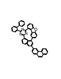 c1ccc(-c2nc(-c3ccccc3-c3ccccc3)nc(-c3cccc4oc5ccc(-c6cccc(-c7ccc8ccc9ccccc9c8c7)c6)cc5c34)n2)cc1